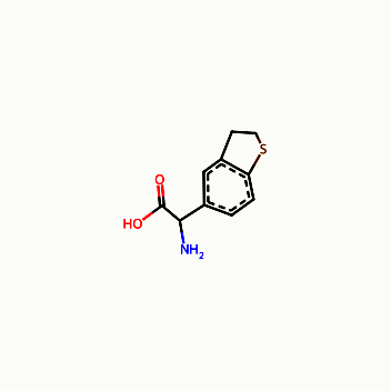 NC(C(=O)O)c1ccc2c(c1)CCS2